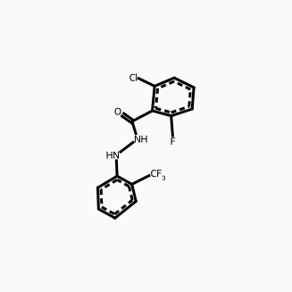 O=C(NNc1ccccc1C(F)(F)F)c1c(F)cccc1Cl